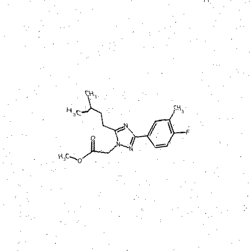 COC(=O)Cn1nc(-c2ccc(F)c(C)c2)nc1CCC(C)C